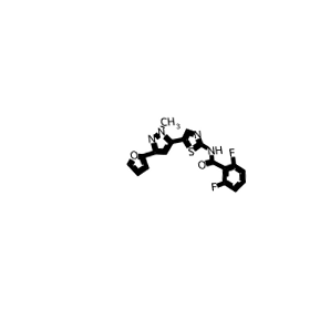 Cn1nc(-c2ccco2)cc1-c1cnc(NC(=O)c2c(F)cccc2F)s1